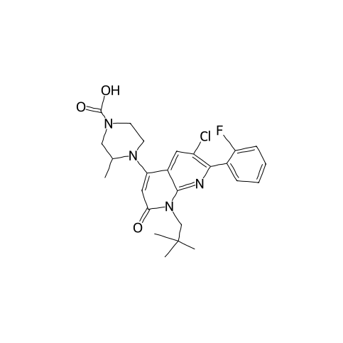 CC1CN(C(=O)O)CCN1c1cc(=O)n(CC(C)(C)C)c2nc(-c3ccccc3F)c(Cl)cc12